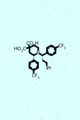 CC(C)CC[C@@H](c1ccc(C(F)(F)F)cc1)N1CCC(C(=O)O)(C(=O)O)C[C@H]1c1ccc(C(F)(F)F)cc1